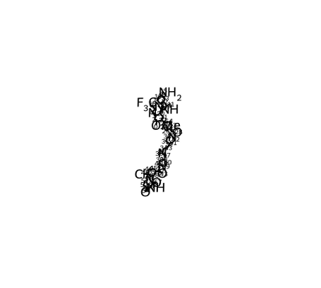 COc1cc2nc(C)nc(N[C@H](C)c3cc(N)cc(C(F)(F)F)c3)c2cc1C1CCC(C(=O)N2CCC(CCN(C)CC3CCN(C(=O)c4ccc(Cl)c(N5CCC(=O)NC5=O)c4)CC3)CC2)CC1